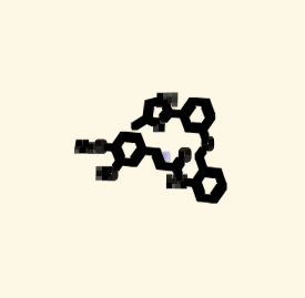 COc1ccc(/C=C/C(=O)Nc2ccccc2COc2cccc(-c3nc(C)c[nH]3)c2)cc1O